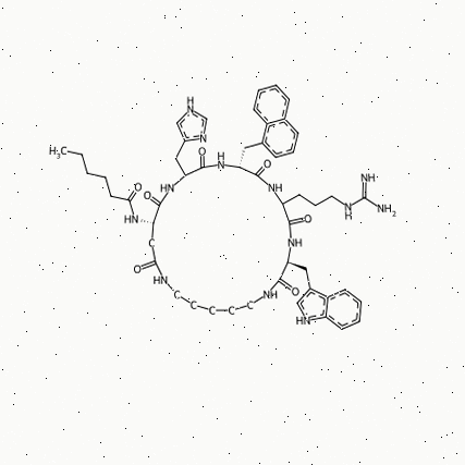 CCCCCC(=O)N[C@H]1CC(=O)NCCCCCNC(=O)[C@H](Cc2c[nH]c3ccccc23)NC(=O)C(CCCNC(=N)N)NC(=O)[C@@H](Cc2cccc3ccccc23)NC(=O)C(Cc2c[nH]cn2)NC1=O